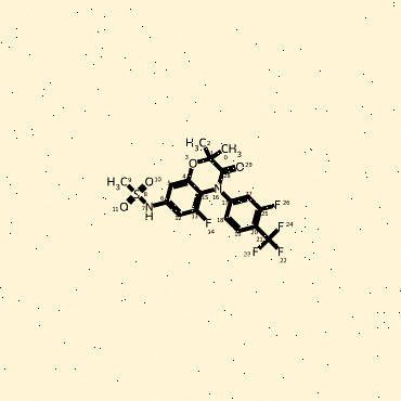 CC1(C)Oc2cc(NS(C)(=O)=O)cc(F)c2N(c2ccc(C(F)(F)F)c(F)c2)C1=O